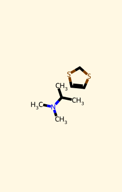 C1=CSCS1.CC(C)N(C)C